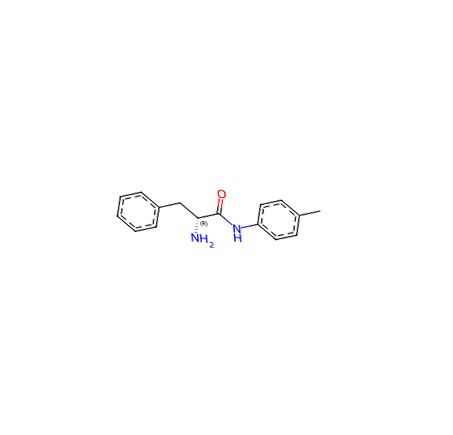 Cc1ccc(NC(=O)[C@H](N)Cc2ccccc2)cc1